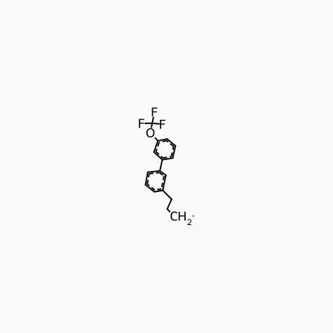 [CH2]CCc1cccc(-c2cccc(OC(F)(F)F)c2)c1